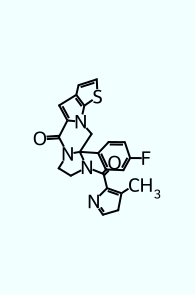 CC1=C(C(=O)N2CCN3C(=O)c4cc5ccsc5n4CC23c2ccc(F)cc2)N=CC1